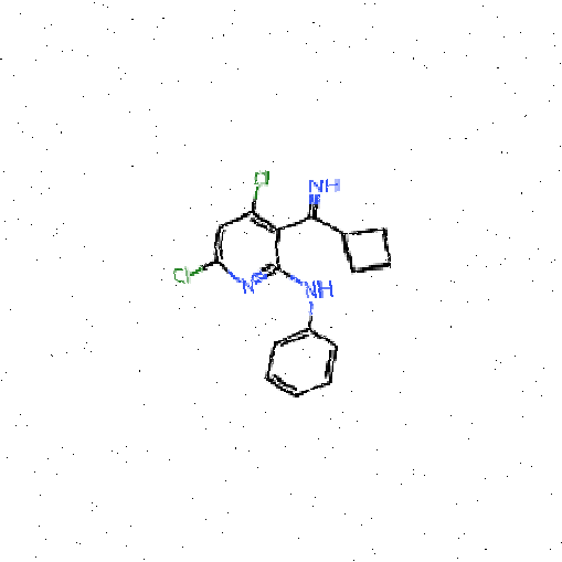 N=C(c1c(Cl)cc(Cl)nc1Nc1ccccc1)C1CCC1